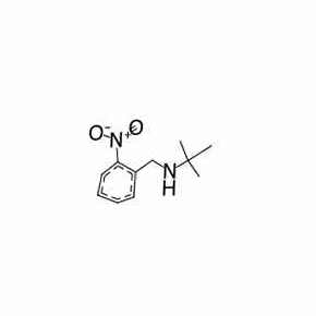 CC(C)(C)NCc1ccccc1[N+](=O)[O-]